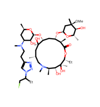 CCC(CF)n1cc(CCN(C)[C@H]2C[C@@H](C)O[C@@H](O[C@@H]3C[C@H](O[C@H]4C[C@@](C)(OC)[C@@H](O)[C@H](C)O4)[C@@H](C)C(=O)O[C@H](CC)[C@@](C)(O)[C@H](O)[C@@H](C)N(C)C[C@H](C)C[C@@]3(C)O)[C@@H]2O)nn1